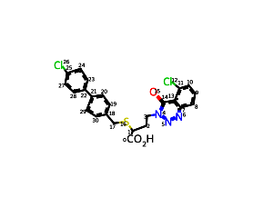 O=C(O)C(CCn1nnc2cccc(Cl)c2c1=O)SCc1ccc(-c2ccc(Cl)cc2)cc1